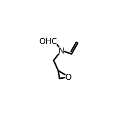 C=CN(C=O)CC1CO1